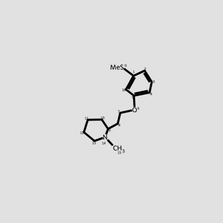 CSc1cccc(OCCC2CCCCN2C)c1